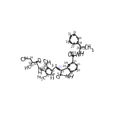 Cc1[nH]c(/C=C2\C(=O)Nc3ccc(C(=O)N[C@H](C)c4ccccc4)cc32)c(C)c1NC(=O)C(O)CCl